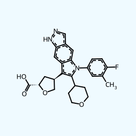 Cc1cc(-n2c(C3CCOCC3)c([C@H]3CO[C@H](C(=O)O)C3)c3cc4[nH]ncc4cc32)ccc1F